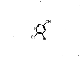 CCc1ncc(C#N)cc1Br